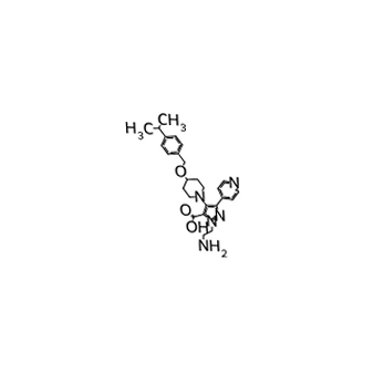 CC(C)c1ccc(COC2CCN(c3c(-c4ccncc4)nn(CCN)c3C(=O)O)CC2)cc1